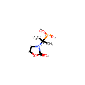 CC(C)(N1CCOC1=O)[PH](=O)O